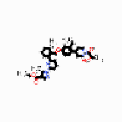 CCOC(=O)c1cnn(-c2cccc(C3=C(COc4ccc(C5CCN(C(=O)C(C)O)CC5)c(CC)c4)C(C)CCC3)n2)c1C